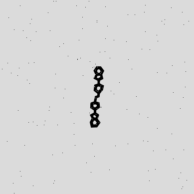 C1=C(c2ccc(CCc3ccc(C4=Cc5ccccc5C4)cc3)cc2)Cc2ccccc21